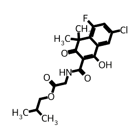 CC(C)COC(=O)CNC(=O)C1=C(O)c2cc(Cl)cc(F)c2C(C)(C)C1=O